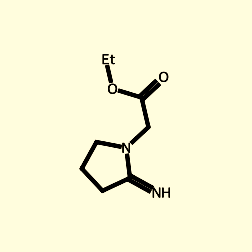 CCOC(=O)CN1CCCC1=N